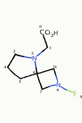 O=C(O)CN1CCCC12CN(F)C2